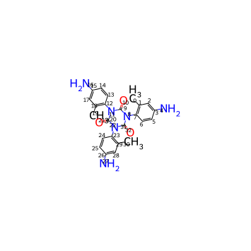 Cc1cc(N)ccc1-n1c(=O)n(-c2ccc(N)cc2C)c(=O)n(-c2ccc(N)cc2C)c1=O